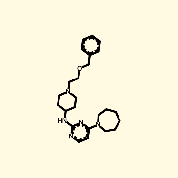 c1ccc(COCCN2CCC(Nc3nccc(N4CCCCCC4)n3)CC2)cc1